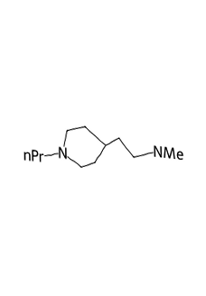 CCCN1CCC(CCNC)CC1